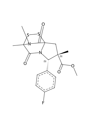 COC(=O)[C@@]1(C)CC23SSC(C)(C(=O)N2[C@H]1c1ccc(F)cc1)N(C)C3=O